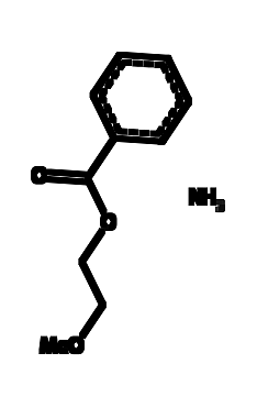 COCCOC(=O)c1ccccc1.N